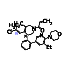 C=CC(=O)N1CC(C)=C(/C=C(\C)Cl)[C@@H](c2ccccc2-c2cnc(N3CCOCC3)c(CC)c2)C1